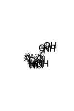 Cl.Cl.O=C(C=Cc1cnc(N[C@@H]2CCN(Cc3ccccc3)C2)c(Cl)c1)NO